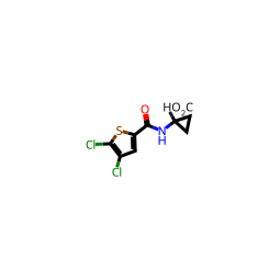 O=C(NC1(C(=O)O)CC1)c1cc(Cl)c(Cl)s1